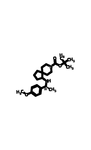 COc1ccc([C@@H](C)NC2CCCC23CCN(C(=O)OC(C)(C)C)CC3)cc1